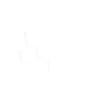 CCSSC(C)c1cccc(C(=O)O)c1